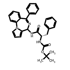 CC(C)(C)OC(=O)N[C@@H](Cc1ccccc1)C(=O)NC1N=C(c2ccccc2)c2ccccc2-n2cccc21